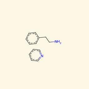 NCCc1ccccc1.c1ccncc1